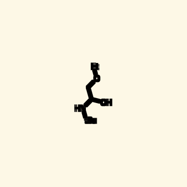 CCOCC(O)NC(C)(C)C